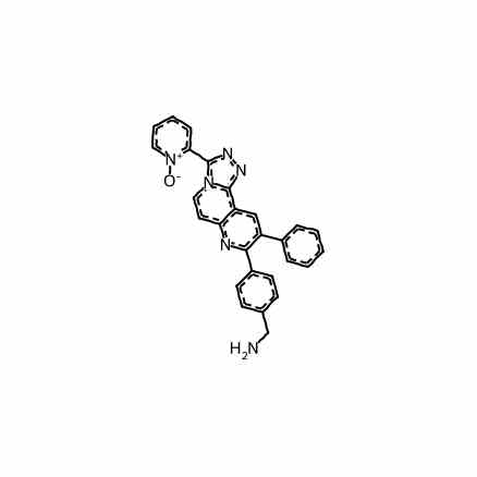 NCc1ccc(-c2nc3ccn4c(-c5cccc[n+]5[O-])nnc4c3cc2-c2ccccc2)cc1